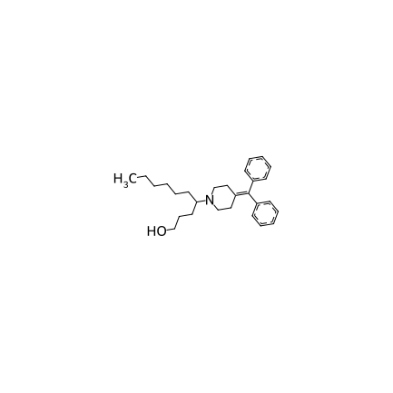 CCCCCCC(CCCO)N1CCC(=C(c2ccccc2)c2ccccc2)CC1